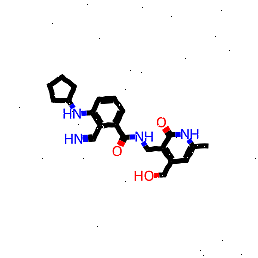 Cc1cc(CO)c(CNC(=O)c2cccc(NC3CCCC3)c2C=N)c(=O)[nH]1